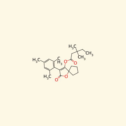 CCC(C)(C)CC(=O)OC1=C(c2c(C)cc(C)cc2C)C(=O)OC12CCCC2